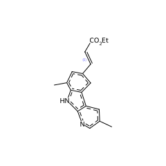 CCOC(=O)/C=C/c1cc(C)c2[nH]c3ncc(C)cc3c2c1